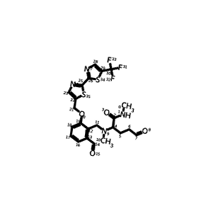 CNC(=O)C(CCC=O)N(C)Cc1c(C=O)cccc1OCc1cnc(-c2ncc(C(F)(F)F)s2)s1